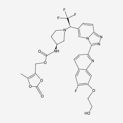 Cc1oc(=O)oc1COC(=O)N[C@H]1CCN([C@H](c2ccc3nnc(-c4ccc5cc(F)c(OCCO)cc5n4)n3c2)C(F)(F)F)C1